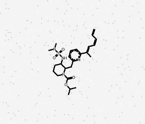 C=C/C=C\C=C(/C)c1cccc(CC2C(NS(=O)(=O)N(C)C)CCCN2C(=O)OC(C)C)n1